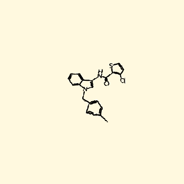 Cc1ccc(Cn2cc(NC(=O)c3sccc3Cl)c3ccccc32)cc1